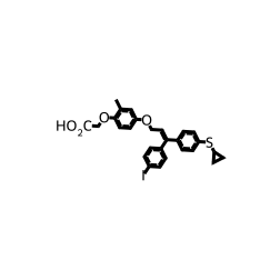 Cc1cc(OC/C=C(\c2ccc(I)cc2)c2ccc(SC3CC3)cc2)ccc1OCC(=O)O